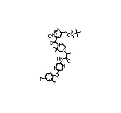 CC(C(=O)Nc1cnc(Oc2ccc(F)cc2F)cn1)N1CCN(C(=O)c2cc(CO[Si](C)(C)C(C)(C)C)nc[n+]2[O-])C(C)(C)C1